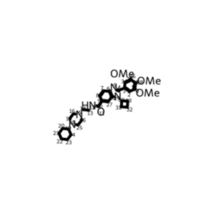 COc1cc(-c2nc3ccc(C(=O)NCCN4CCN(C5CCCCC5)CC4)cc3n2C2CCC2)cc(OC)c1OC